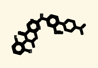 COc1cc(Nc2ncc3c(n2)SC(C)N(c2c(F)cccc2Cl)C3=O)ccc1N1CCC(N(C)C)CC1